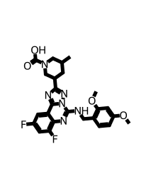 COc1ccc(CNc2nc3c(F)cc(F)cc3c3nc(C4CC(C)CN(C(=O)O)C4)nn23)c(OC)c1